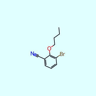 CCCCOc1c(Br)cccc1C#N